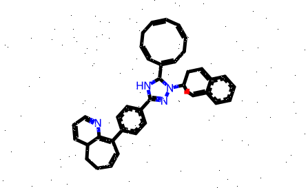 C/C=c1/cccc/c1=C/CC(C)N1N=C(c2ccc(C3=C4N=CC=CC4CCC=C3)cc2)NC1C1=C/C/C=C\C=C/C/C=C\1